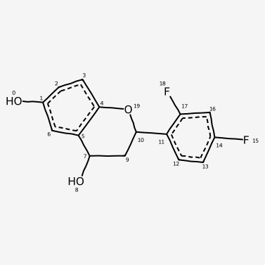 Oc1ccc2c(c1)C(O)CC(c1ccc(F)cc1F)O2